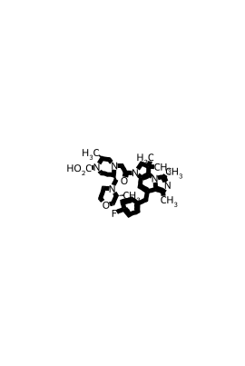 Cc1nc(C)n2c3c(cc(Cc4ccc(F)cc4)c12)N(C(=O)CN1C[C@@H](C)N(C(=O)O)C[C@@H]1CN1CCOC[C@H]1C)CC3(C)C